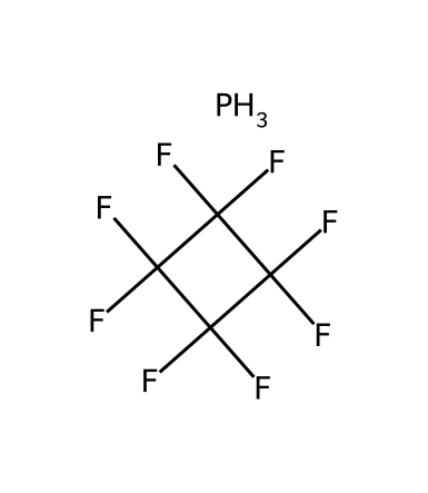 FC1(F)C(F)(F)C(F)(F)C1(F)F.P